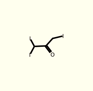 O=C(CI)C(I)I